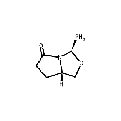 O=C1CC[C@H]2CO[C@H](P)N12